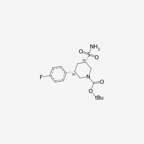 CC(C)(C)OC(=O)N1C[C@H](c2ccc(F)cc2)C[C@H](S(N)(=O)=O)C1